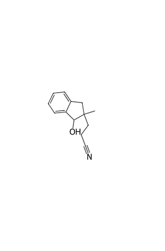 CC1(CCC#N)Cc2ccccc2C1O